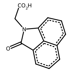 O=C(O)CN1C(=O)c2cccc3cccc1c23